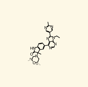 CCn1c(-c2cnc(C)nc2)nc2c(-c3ccc4c(c3)C(C)(N3C[C@@H](C)O[C@@H](C)C3)C(=O)N4)ncnc21